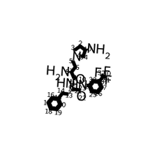 N[C@@H]1CCN(CC[C@H](N)C(=O)N[C@@H](CCc2ccccc2)C(=O)Nc2cccc(C(F)(F)F)c2)C1